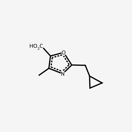 Cc1nc(CC2CC2)oc1C(=O)O